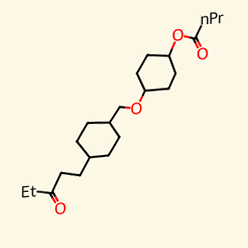 CCCC(=O)OC1CCC(OCC2CCC(CCC(=O)CC)CC2)CC1